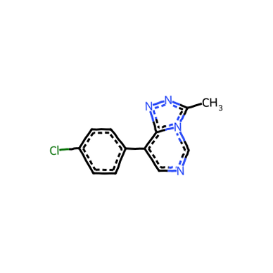 Cc1nnc2c(-c3ccc(Cl)cc3)cncn12